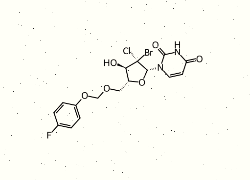 O=c1ccn([C@@H]2O[C@H](COCOc3ccc(F)cc3)[C@@H](O)[C@@]2(Cl)Br)c(=O)[nH]1